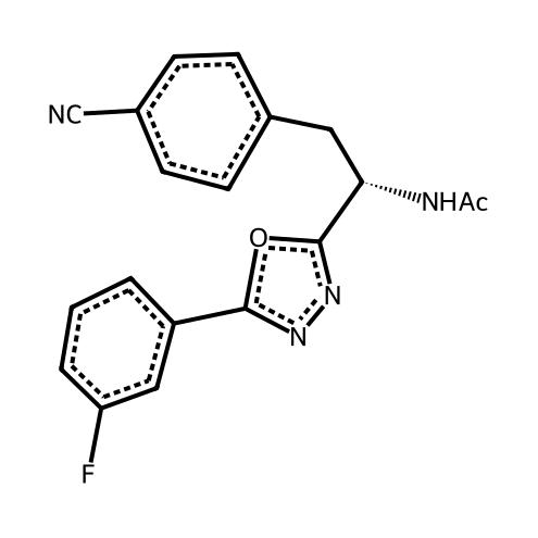 CC(=O)N[C@@H](Cc1ccc(C#N)cc1)c1nnc(-c2cccc(F)c2)o1